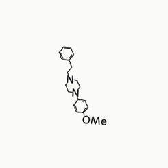 COc1ccc(N2CCN(CCc3ccccc3)CC2)cc1